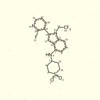 O=S1(=O)CCC(Nc2cccc3c2cc(-c2cccnc2F)n3CC(F)(F)F)CC1